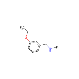 CC(C)NCc1cccc(OCC(F)(F)F)c1